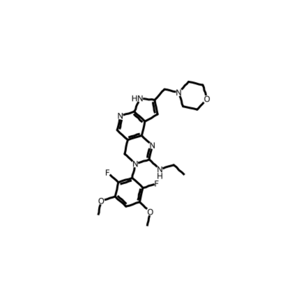 CCNC1=Nc2c(cnc3[nH]c(CN4CCOCC4)cc23)CN1c1c(F)c(OC)cc(OC)c1F